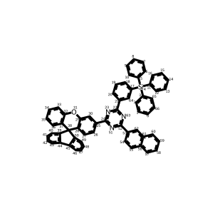 c1ccc([Si](c2ccccc2)(c2ccccc2)c2cccc(-c3nc(-c4ccc5c(c4)Oc4ccccc4C54c5ccccc5-c5ccccc54)nc(-c4ccc5ccccc5c4)n3)c2)cc1